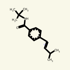 CC(C)/C=C/c1ccc(C(=O)NC(C)(C)C)cc1